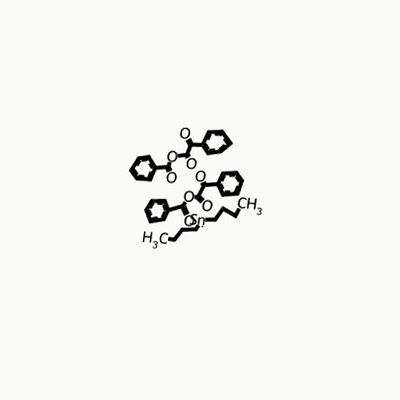 CCC[CH2][Sn][CH2]CCC.O=C(OC(=O)c1ccccc1)C(=O)c1ccccc1.O=C(OC(=O)c1ccccc1)C(=O)c1ccccc1